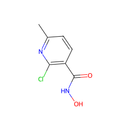 Cc1ccc(C(=O)NO)c(Cl)n1